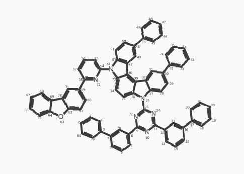 c1ccc(-c2cccc(-c3nc(-c4cccc(-c5ccccc5)c4)nc(-n4c5ccc(-c6ccccc6)cc5c5c6c7cc(-c8ccccc8)ccc7n(-c7cccc(-c8ccc9oc%10ccccc%10c9c8)n7)c6ccc54)n3)c2)cc1